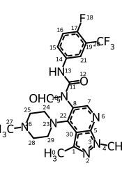 Cc1nn(C)c2ncc(N(C=O)C(=O)Nc3ccc(F)c(C(F)(F)F)c3)c(N3CCN(C)CC3)c12